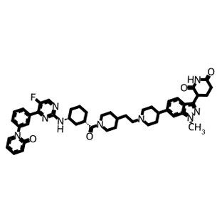 Cn1nc(C2CCC(=O)NC2=O)c2ccc(C3CCN(CCC4CCN(C(=O)[C@H]5CCC[C@@H](Nc6ncc(F)c(-c7cccc(-n8ccccc8=O)c7)n6)C5)CC4)CC3)cc21